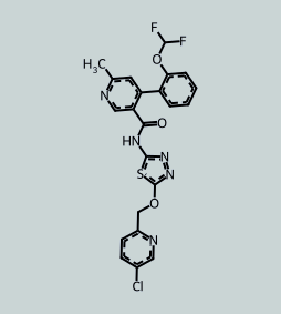 Cc1cc(-c2ccccc2OC(F)F)c(C(=O)Nc2nnc(OCc3ccc(Cl)cn3)s2)cn1